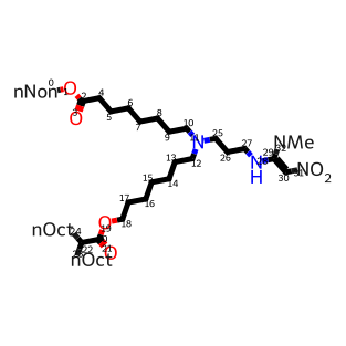 CCCCCCCCCOC(=O)CCCCCCCN(CCCCCCCOC(=O)C(CCCCCCCC)CCCCCCCC)CCCN/C(=C/[N+](=O)[O-])NC